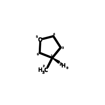 [2H][C@]1(C)CCOC1